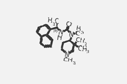 C[C@@H](NC(=O)N(C)C1CCN(C)CC1(C)C)c1cccc2ccccc12